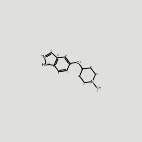 CC(C)N1CCC(Oc2ccc3[nH]ncc3c2)CC1